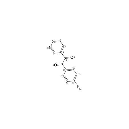 O=C(C(=O)c1cccnc1)c1ccc(F)cc1